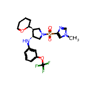 Cn1cnc(S(=O)(=O)N2C[C@H](Nc3cccc(OC(F)(F)F)c3)[C@@H](C3CCCCO3)C2)c1